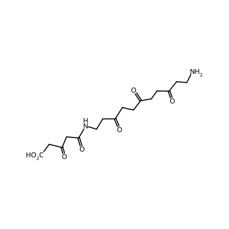 NCCC(=O)CCC(=O)CCC(=O)CCNC(=O)CC(=O)CC(=O)O